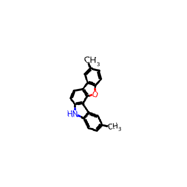 Cc1ccc2oc3c(ccc4[nH]c5ccc(C)cc5c43)c2c1